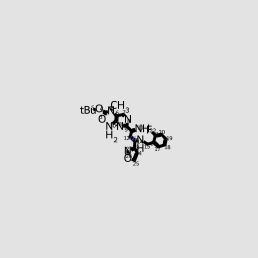 CN(C(=O)OC(C)(C)C)c1cnc(C(=N)/C=C(\NCc2ccccc2F)c2ccon2)nc1N